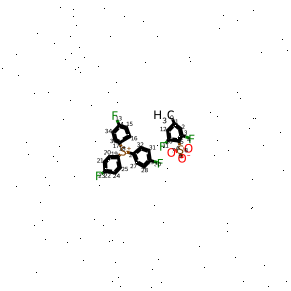 Cc1cc(F)c(S(=O)(=O)[O-])c(F)c1.Fc1ccc([S+](c2ccc(F)cc2)c2ccc(F)cc2)cc1